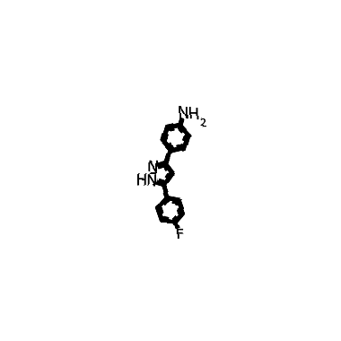 Nc1ccc(-c2cc(-c3ccc(F)cc3)[nH]n2)cc1